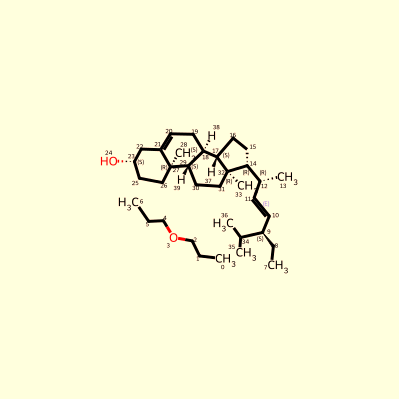 CCCOCCC.CC[C@H](/C=C/[C@@H](C)[C@H]1CC[C@H]2[C@@H]3CC=C4C[C@@H](O)CC[C@]4(C)[C@H]3CC[C@]12C)C(C)C